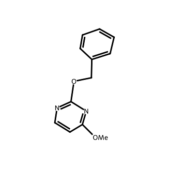 COc1ccnc(OCc2ccccc2)n1